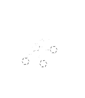 CCS[C@@H]1O[C@H](CNC(C)=O)[C@@H](OCc2ccccc2)[C@H](OCc2ccccc2)[C@H]1OCc1ccccc1